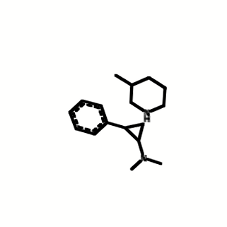 CC1CCCNC1.CN(C)C1CC1c1ccccc1